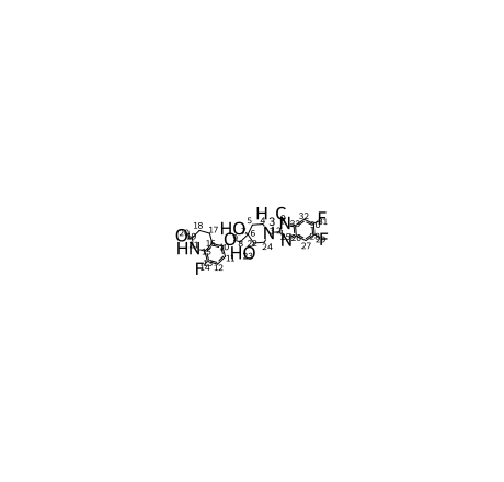 Cn1c(N2CC[C@@](O)(COc3ccc(F)c4c3CCC(=O)N4)[C@H](O)C2)nc2cc(F)c(F)cc21